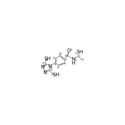 CC(S)NC(=O)c1ccc(-n2c(S)nnc2S)cc1